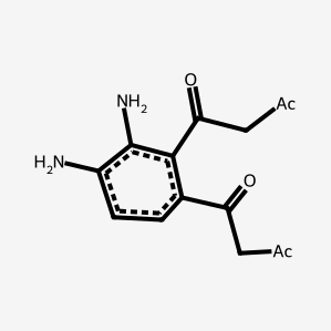 CC(=O)CC(=O)c1ccc(N)c(N)c1C(=O)CC(C)=O